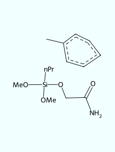 CCC[Si](OC)(OC)OCC(N)=O.Cc1ccccc1